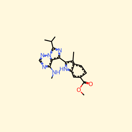 CNc1ncnn2c(C(C)C)nc(-c3[nH]c4cc(C(=O)OC)ccc4c3C)c12